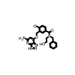 Nc1cc(OCc2cc(C(=O)N(CCO)Cc3ccccc3)ccc2Cl)c2nn[nH]c2n1